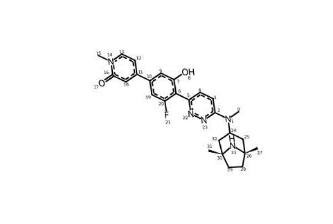 CN(c1ccc(-c2c(O)cc(-c3ccn(C)c(=O)c3)cc2F)nn1)C1C[C@]2(C)CC[C@](C)(C1)N2